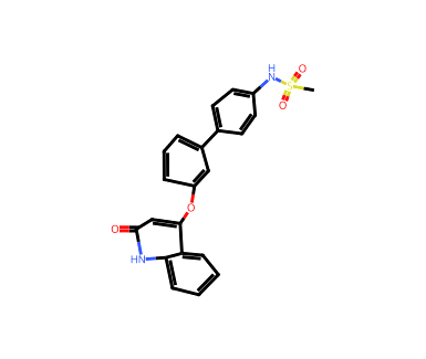 CS(=O)(=O)Nc1ccc(-c2cccc(Oc3cc(=O)[nH]c4ccccc34)c2)cc1